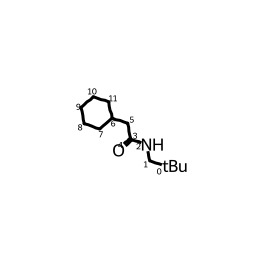 CC(C)(C)CNC(=O)CC1CCCCC1